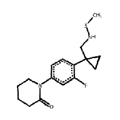 CSNCC1(c2ccc(N3CCCCC3=O)cc2F)CC1